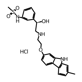 Cc1ccc2c(c1)[nH]c1cc(OCCNC[C@H](O)c3cccc(NS(C)(=O)=O)c3)ccc12.Cl